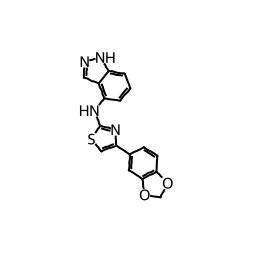 c1cc(Nc2nc(-c3ccc4c(c3)OCO4)cs2)c2cn[nH]c2c1